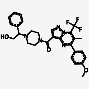 COc1ccc(-c2nc3c(C(=O)N4CCN(C(CO)c5ccccc5)CC4)cnn3c(C(F)(F)F)c2C)cc1